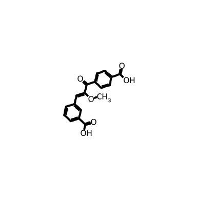 COC(=Cc1cccc(C(=O)O)c1)C(=O)c1ccc(C(=O)O)cc1